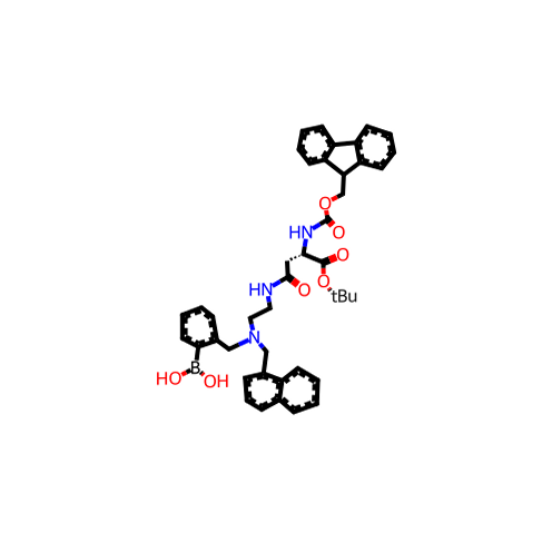 CC(C)(C)OC(=O)[C@H](CC(=O)NCCN(Cc1ccccc1B(O)O)Cc1cccc2ccccc12)NC(=O)OCC1c2ccccc2-c2ccccc21